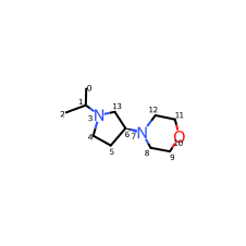 CC(C)N1CC[C@H](N2CCOCC2)C1